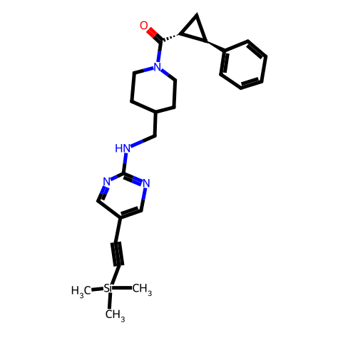 C[Si](C)(C)C#Cc1cnc(NCC2CCN(C(=O)[C@@H]3C[C@H]3c3ccccc3)CC2)nc1